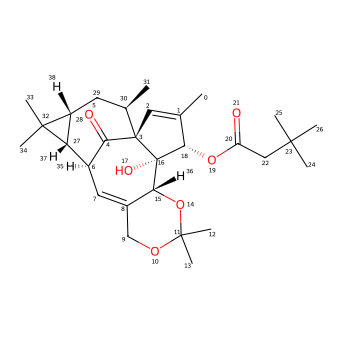 CC1=C[C@]23C(=O)[C@@H](C=C4COC(C)(C)O[C@H]4[C@]2(O)[C@H]1OC(=O)CC(C)(C)C)[C@H]1[C@@H](C[C@H]3C)C1(C)C